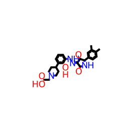 Cc1ccc(C2NC(=O)C(=NNc3cccc(C4CCN(CC(=O)O)CC4)c3O)C2=O)cc1C